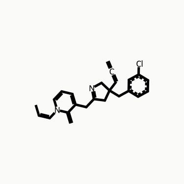 C=C=CC1(Cc2cccc(Cl)c2)CN=C(CC2=CC=CN(/C=C\C)C2=C)C1